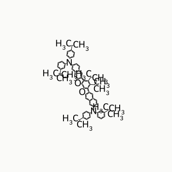 CC(C)c1ccc(N(c2cccc(C(C)(C)C)c2)c2ccc3cc4c(cc3c2)oc2c3oc5cc6cc(N(c7ccc(C(C)C)cc7)c7cccc(C(C)(C)C)c7)ccc6cc5c3c(C(C)C)c(C(C)C)c42)cc1